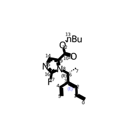 C=C/C=C(\C=C)[C@@H](C)n1c(C(=O)OCCCC)cnc1F